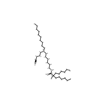 CCCCCCCCCCN(CCCC#N)CCCCCCOC(=O)C(C)(CCCCCC)CCCCCC